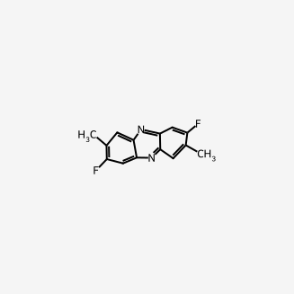 Cc1cc2nc3cc(F)c(C)cc3nc2cc1F